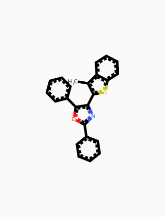 Cc1c(-c2nc(-c3ccccc3)oc2-c2ccccc2)sc2ccccc12